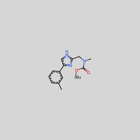 Cc1cccc(-c2c[nH]c(CN(C)C(=O)OC(C)(C)C)n2)c1